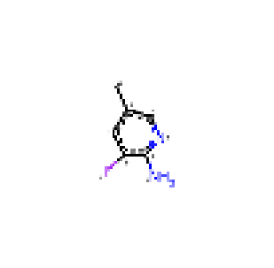 Cc1cnc(N)c(I)c1